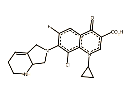 O=C(O)c1cn(C2CC2)c2c(Cl)c(N3CC4=CCCNC4C3)c(F)cc2c1=O